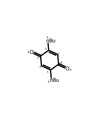 CCCCC1=CC(=O)C(CCCC)=CC1=O